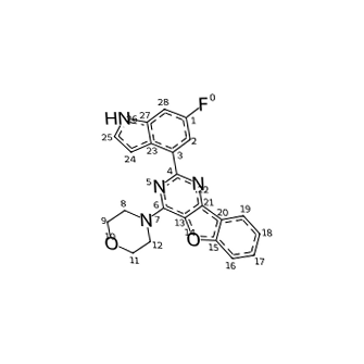 Fc1cc(-c2nc(N3CCOCC3)c3oc4ccccc4c3n2)c2cc[nH]c2c1